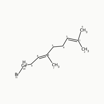 CC(C)=CCC/C(C)=C/[CH2][GeH2][Br]